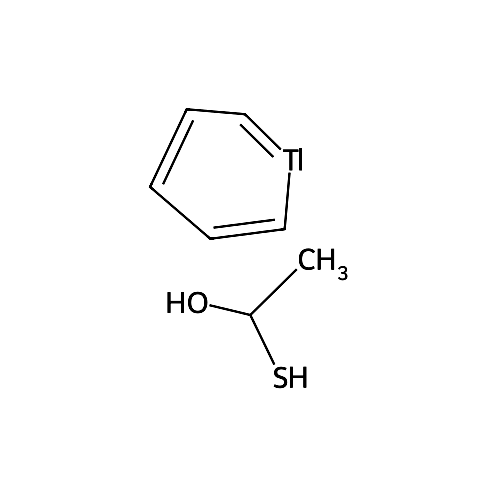 C1=C[CH]=[Tl][CH]=C1.CC(O)S